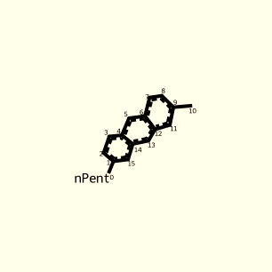 CCCCCc1ccc2cc3ccc(C)cc3cc2c1